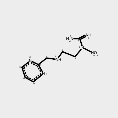 N=C(N)N(CCNCc1ncccn1)[N+](=O)[O-]